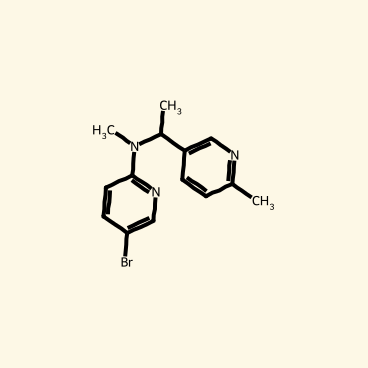 Cc1ccc(C(C)N(C)c2ccc(Br)cn2)cn1